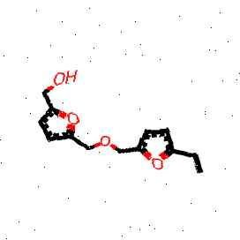 CCc1ccc(COCc2ccc(CO)o2)o1